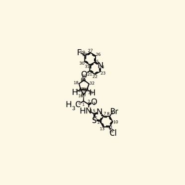 CC(C(=O)Nc1nc2c(Br)cc(Cl)cc2s1)[C@H]1[C@@H]2C[C@H](Oc3ccnc4ccc(F)cc34)C[C@@H]21